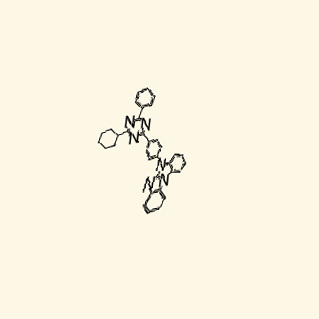 C1=C=c2nc3n(-c4ccc(-c5nc(-c6ccccc6)nc(C6CCCCC6)n5)cc4)c4ccccc4n3c2=CC=1